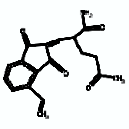 C=Cc1cccc2c1C(=O)/C(=C\C(CCC(C)=O)C(N)=O)C2=O